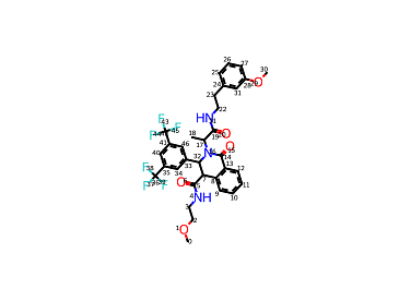 COCCNC(=O)C1c2ccccc2C(=O)N(C(C)C(=O)NCCc2cccc(OC)c2)C1c1cc(C(F)(F)F)cc(C(F)(F)F)c1